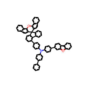 c1ccc(-c2ccc(N(c3ccc(-c4ccc5c(c4)oc4ccccc45)cc3)c3ccc(-c4cccc5c4-c4ccccc4C54c5ccc6ccccc6c5Oc5c4ccc4ccccc54)cc3)cc2)cc1